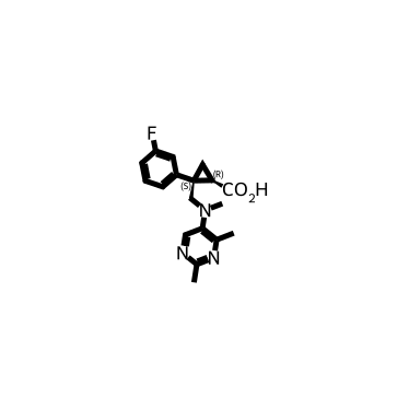 Cc1ncc(N(C)C[C@@]2(c3cccc(F)c3)C[C@H]2C(=O)O)c(C)n1